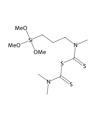 CO[Si](CCCN(C)C(=S)SC(=S)N(C)C)(OC)OC